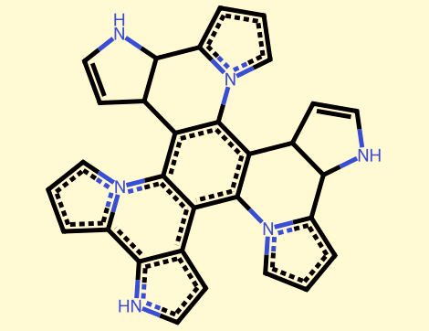 C1=CC2c3c(c4c(c5c6cc[nH]c6c6cccn6c35)-n3cccc3C3NC=CC43)-n3cccc3C2N1